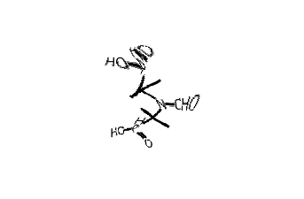 CC(C)(N(C=O)C(C)(C)[PH](=O)O)[PH](=O)O